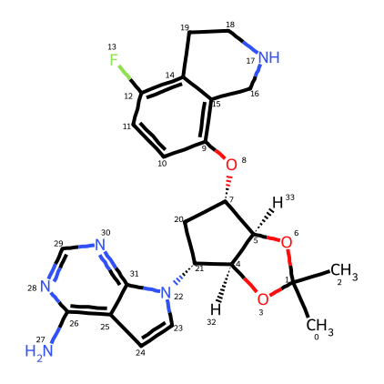 CC1(C)O[C@@H]2[C@H](O1)[C@@H](Oc1ccc(F)c3c1CNCC3)C[C@H]2n1ccc2c(N)ncnc21